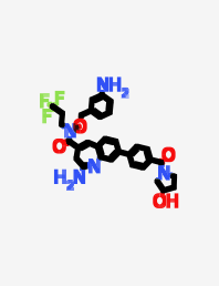 NC1=Nc2cc(-c3ccc(C(=O)N4CC[C@@H](O)C4)cc3)ccc2C=C(C(=O)N(CCC(F)(F)F)OCc2cccc(N)c2)C1